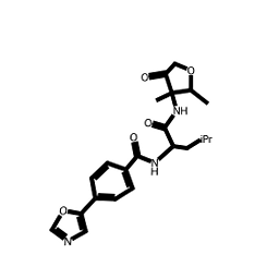 CC(C)CC(NC(=O)c1ccc(-c2cnco2)cc1)C(=O)NC1(C)C(=O)COC1C